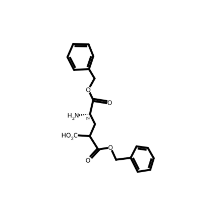 N[C@@H](CC(C(=O)O)C(=O)OCc1ccccc1)C(=O)OCc1ccccc1